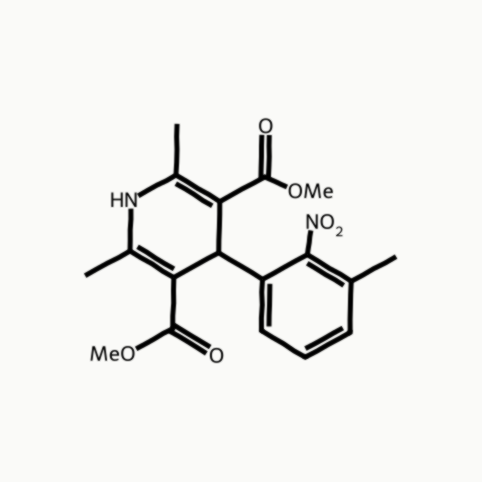 COC(=O)C1=C(C)NC(C)=C(C(=O)OC)C1c1cccc(C)c1[N+](=O)[O-]